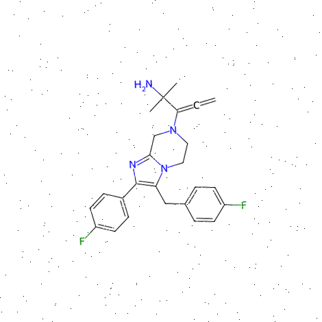 C=C=C(N1CCn2c(nc(-c3ccc(F)cc3)c2Cc2ccc(F)cc2)C1)C(C)(C)N